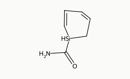 NC(=O)[SiH]1C=CC=CC1